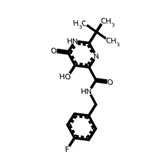 CC(C)(C)c1nc(C(=O)NCc2ccc(F)cc2)c(O)c(=O)[nH]1